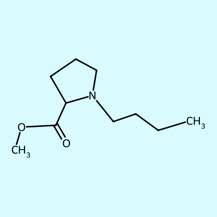 CCCCN1CCCC1C(=O)OC